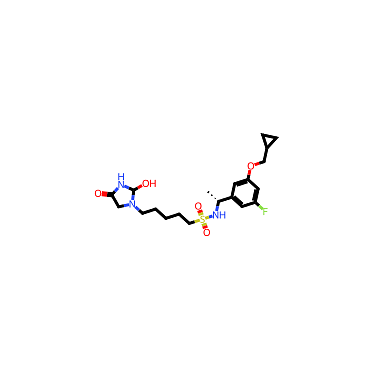 C[C@@H](NS(=O)(=O)CCCCCN1CC(=O)NC1O)c1cc(F)cc(OCC2CC2)c1